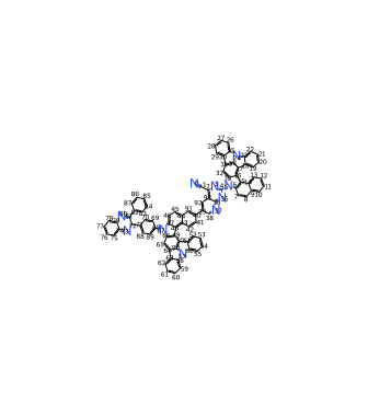 N#Cc1nc(-n2c3ccc4ccccc4c3c3c4c5ccccc5n5c6ccccc6c(cc32)c45)nc2ncc(-c3ccc4c(ccc5c4c4c6c7ccccc7n7c8ccccc8c(cc4n5-c4ccc(-c5nc8ccccc8nc5-c5ccccc5)cc4)c67)c3)cc12